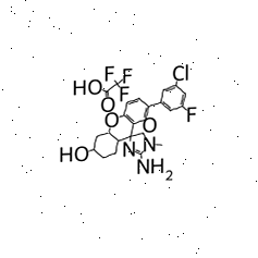 CN1C(=O)C2(N=C1N)c1cc(-c3cc(F)cc(Cl)c3)ccc1OC1CC(O)CCC12.O=C(O)C(F)(F)F